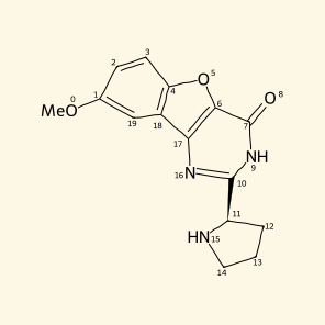 COc1ccc2oc3c(=O)[nH]c([C@H]4CCCN4)nc3c2c1